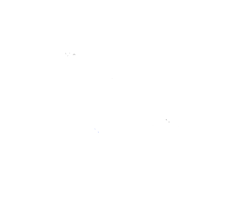 COCOC(=O)CCC[N+]1(Cc2ccc([N+](=O)[O-])cc2)CCCC1